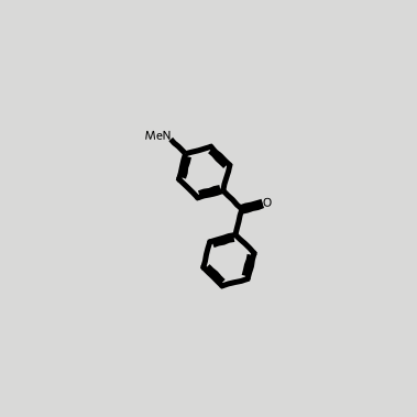 CNc1ccc(C(=O)c2ccccc2)cc1